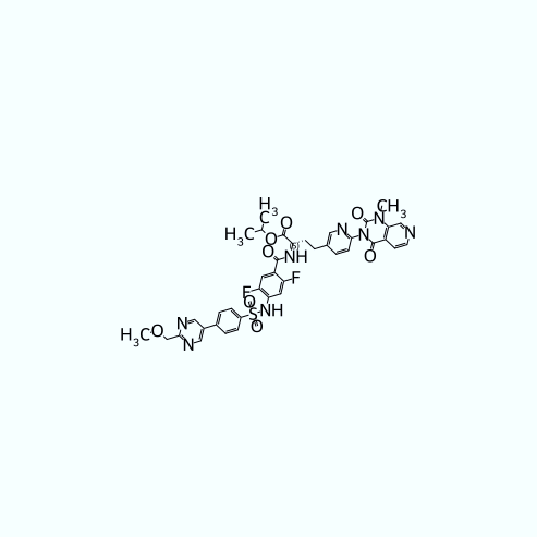 COCc1ncc(-c2ccc(S(=O)(=O)Nc3cc(F)c(C(=O)N[C@@H](CCc4ccc(-n5c(=O)c6ccncc6n(C)c5=O)nc4)C(=O)OC(C)C)cc3F)cc2)cn1